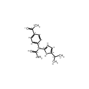 CC(=O)c1ccc(N(C(N)=O)c2ncc(C(C)C)s2)cc1